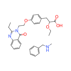 CCOC(Cc1ccc(OCCn2c(CC)nc3ccccc3c2=O)cc1)C(=O)O.CNCc1ccccc1